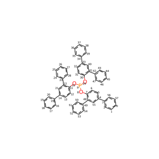 c1ccc(-c2ccc(OP(Oc3ccc(-c4ccccc4)cc3-c3ccccc3)Oc3ccc(-c4ccccc4)cc3-c3ccccc3)c(-c3ccccc3)c2)cc1